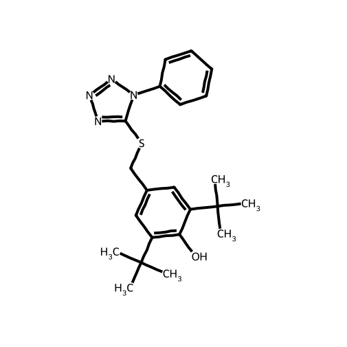 CC(C)(C)c1cc(CSc2nnnn2-c2ccccc2)cc(C(C)(C)C)c1O